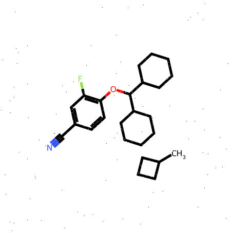 CC1CCC1.N#Cc1ccc(OC(C2CCCCC2)C2CCCCC2)c(F)c1